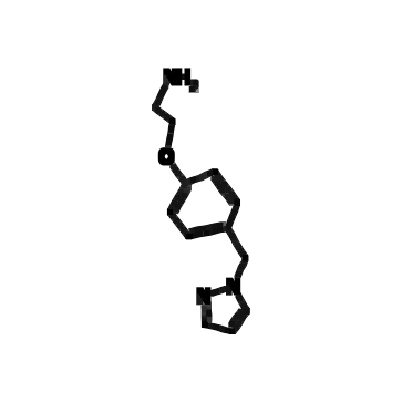 NCCOc1ccc(Cn2cccn2)cc1